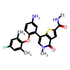 CCNC(=O)c1cc2c(=O)n(C)cc(-c3cc(N)ccc3Oc3c(C)cc(F)cc3C)c2s1